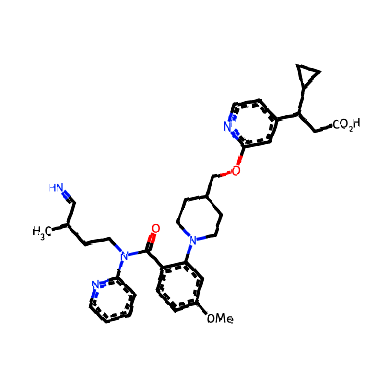 COc1ccc(C(=O)N(CCC(C)C=N)c2ccccn2)c(N2CCC(COc3cc(C(CC(=O)O)C4CC4)ccn3)CC2)c1